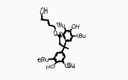 CC(C)(C)c1cc(C(C)(CC(=O)OCCCCO)c2cc(C(C)(C)C)c(O)c(C(C)(C)C)c2)cc(C(C)(C)C)c1O